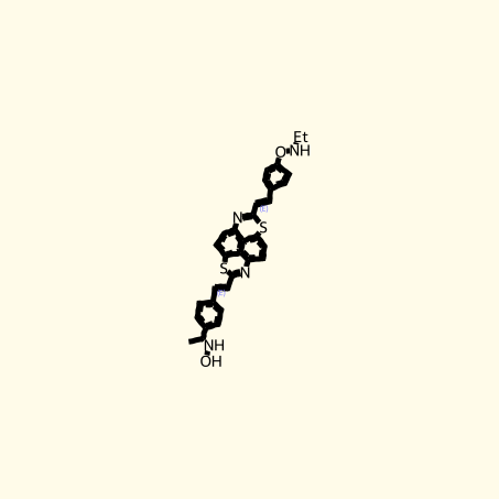 CCNOc1ccc(/C=C/C2=Nc3ccc4c5c(ccc(c35)S2)N=C(/C=C/c2ccc(C(C)NO)cc2)S4)cc1